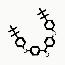 CC(C)(C)C(C)(C)c1ccc(Oc2ccc(C(=O)c3ccc(Oc4ccc(C(C)(C)C(C)(C)C)cc4)cc3)cc2)cc1